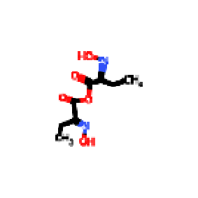 CCC(=NO)C(=O)OC(=O)C(CC)=NO